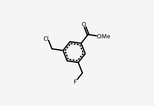 COC(=O)c1cc(CF)cc(CCl)c1